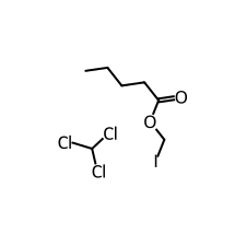 CCCCC(=O)OCI.ClC(Cl)Cl